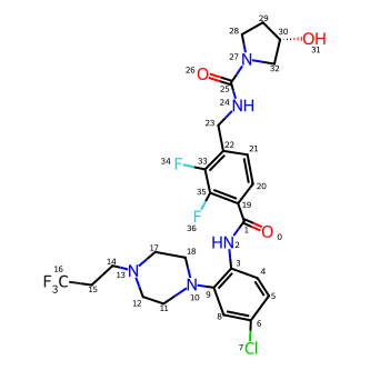 O=C(Nc1ccc(Cl)cc1N1CCN(CCC(F)(F)F)CC1)c1ccc(CNC(=O)N2CC[C@H](O)C2)c(F)c1F